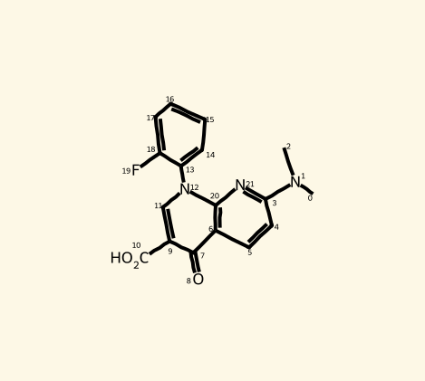 CN(C)c1ccc2c(=O)c(C(=O)O)cn(-c3ccccc3F)c2n1